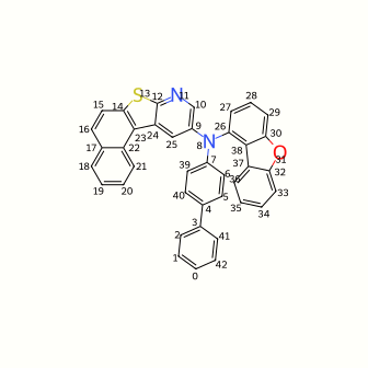 c1ccc(-c2ccc(N(c3cnc4sc5ccc6ccccc6c5c4c3)c3cccc4oc5ccccc5c34)cc2)cc1